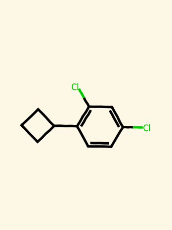 Clc1ccc([C]2CCC2)c(Cl)c1